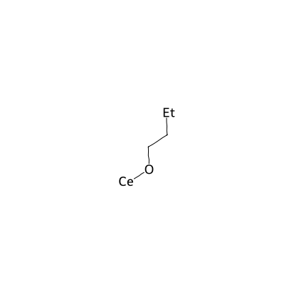 CCCC[O][Ce]